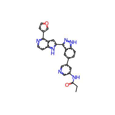 CCC(=O)Nc1cncc(-c2ccc3[nH]nc(-c4cc5c(-c6ccoc6)nccc5[nH]4)c3c2)c1